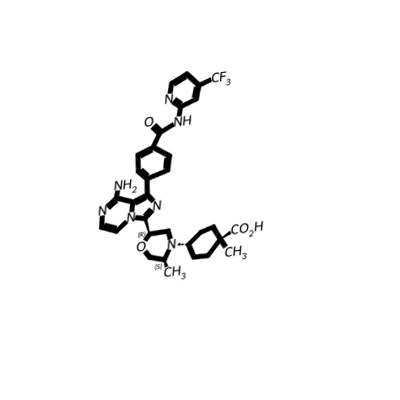 C[C@H]1CO[C@@H](c2nc(-c3ccc(C(=O)Nc4cc(C(F)(F)F)ccn4)cc3)c3c(N)nccn23)CN1[C@H]1CC[C@](C)(C(=O)O)CC1